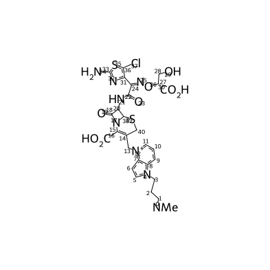 CNCCCn1ccc2c1ccc[n+]2CC1=C(C(=O)O)N2C(=O)C(NC(=O)/C(=N\O[C@H](CO)C(=O)O)c3nc(N)sc3Cl)C2SC1